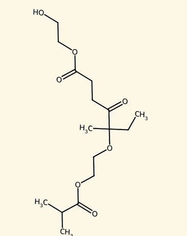 CCC(C)(OCCOC(=O)C(C)C)C(=O)CCC(=O)OCCO